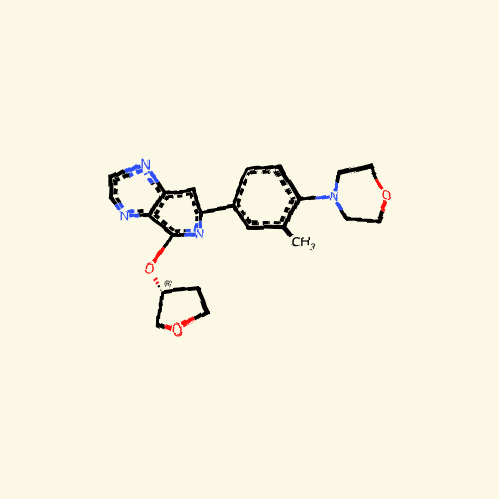 Cc1cc(-c2cc3nccnc3c(O[C@@H]3CCOC3)n2)ccc1N1CCOCC1